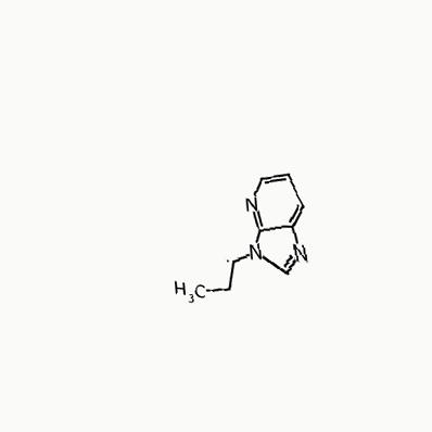 CC[CH]n1cnc2cccnc21